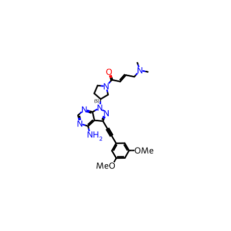 COc1cc(C#Cc2nn([C@H]3CCN(C(=O)C=CCN(C)C)C3)c3ncnc(N)c23)cc(OC)c1